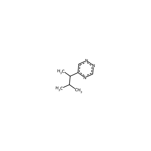 CC(C)C(C)c1cnncn1